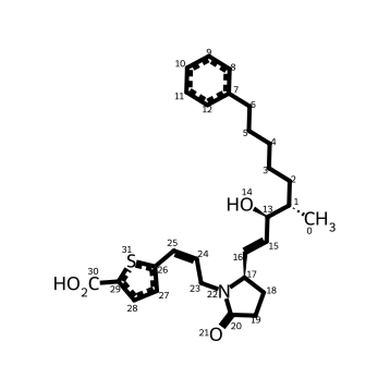 C[C@@H](CCCCCc1ccccc1)[C@H](O)/C=C/[C@H]1CCC(=O)N1C/C=C\c1ccc(C(=O)O)s1